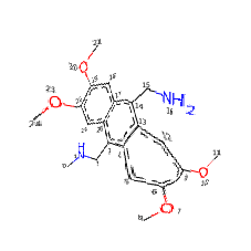 CNCc1c2cc(OC)c(OC)cc2c(CN)c2cc(OC)c(OC)cc12